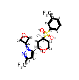 C[C@]1(S(=O)(=O)c2cccc(C(F)(F)F)c2)CCO[C@H](c2cc(C(F)(F)F)nn2C2COC2)C1